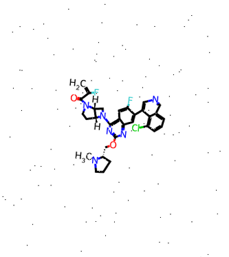 C=C(F)C(=O)N1CC[C@@H]2[C@H]1CN2c1nc(OC[C@@H]2CCCN2C)nc2cc(-c3cncc4cccc(Cl)c34)c(F)cc12